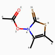 CC(=O)On1c(C)c(C)sc1=S